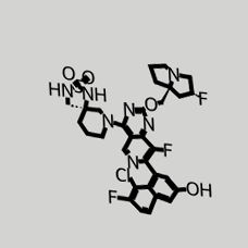 O=S1(=O)NC[C@]2(CCCN(c3nc(OC[C@@]45CCCN4C[C@H](F)C5)nc4c(F)c(-c5cc(O)cc6ccc(F)c(Cl)c56)ncc34)C2)N1